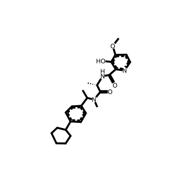 COc1ccnc(C(=O)N[C@@H](C)C(=O)N(C)C(C)c2ccc(C3CCCCC3)cc2)c1O